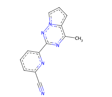 Cc1nc(-c2cccc(C#N)n2)nn2cccc12